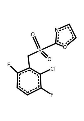 O=S(=O)(Cc1c(F)ccc(F)c1Cl)c1ncco1